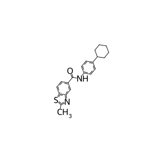 Cc1nc2cc(C(=O)Nc3ccc(C4CCCCC4)cc3)ccc2s1